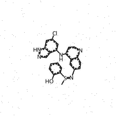 CS(=Nc1ccc2nccc(Nc3cc(Cl)cc4[nH]ncc34)c2c1)c1ccccc1O